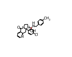 Cc1ccc(CNC(O)N2CCN3C(=O)c4cccnc4CC32c2ccc(Cl)cc2)cc1